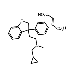 CN(CCC1(c2ccccc2)COc2ccccc21)CC1CC1.O=C(O)C=CC(=O)O